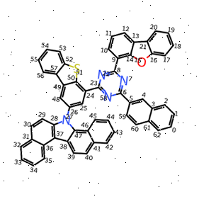 c1ccc2cc(-c3nc(-c4cccc5c4oc4ccccc45)nc(-c4cc(-n5c6ccc7ccccc7c6c6ccc7ccccc7c65)cc5c4sc4ccccc45)n3)ccc2c1